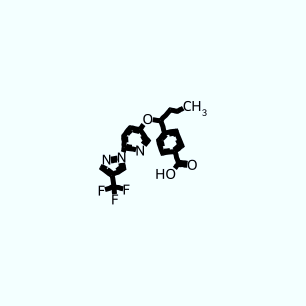 CCCC(Oc1ccc(-n2cc(C(F)(F)F)cn2)nc1)c1ccc(C(=O)O)cc1